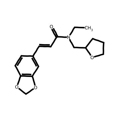 CCN(CC1CCCO1)C(=O)C=Cc1ccc2c(c1)OCO2